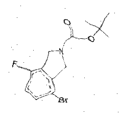 CC(C)(C)OC(=O)N1Cc2c(F)ccc(Br)c2C1